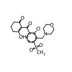 CS(=O)(=O)c1ccc(C(=O)C2=C(O)CCCC2=O)c(Cl)c1CN1CCOCC1